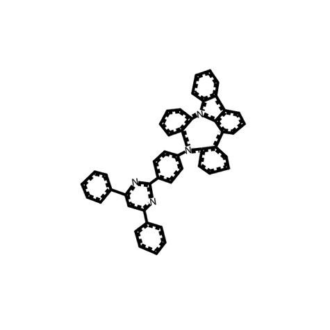 c1ccc(-c2cc(-c3ccccc3)nc(-c3ccc(-n4c5ccccc5c5cccc6c7ccccc7n(c7ccccc74)c56)cc3)n2)cc1